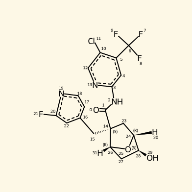 O=C(Nc1cc(C(F)(F)F)c(Cl)cn1)[C@@]1(Cc2ccnc(F)c2)C[C@H]2O[C@@H]1C[C@@H]2O